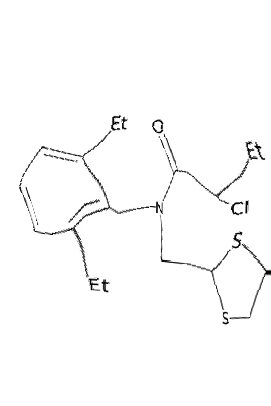 CCc1cccc(CC)c1N(CC1SCCS1)C(=O)C(Cl)CC